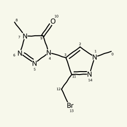 Cn1cc(-n2nnn(C)c2=O)c(CBr)n1